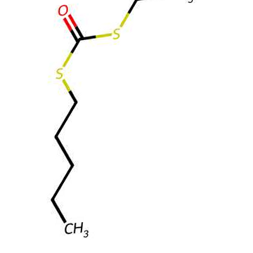 CCCCCSC(=O)SCC